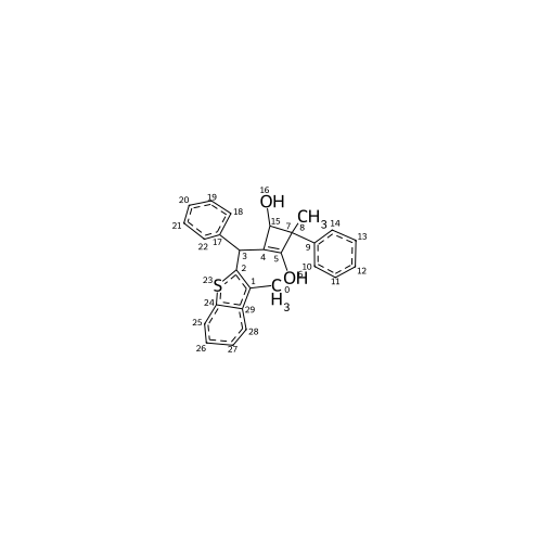 Cc1c(C(C2=C(O)C(C)(c3ccccc3)C2O)c2ccccc2)sc2ccccc12